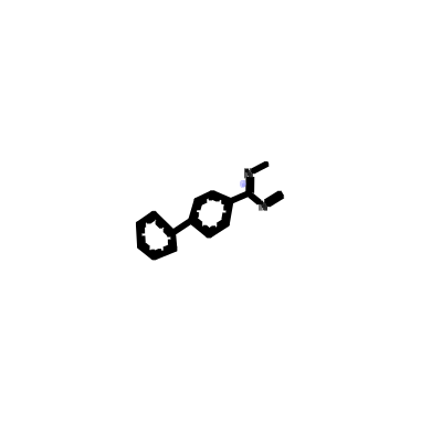 C=N/C(=N\C)c1ccc(-c2ccccc2)cc1